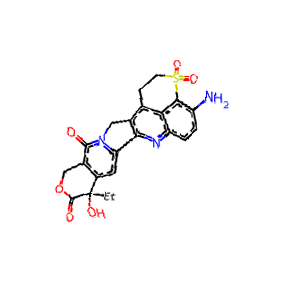 CC[C@@]1(O)C(=O)OCc2c1cc1n(c2=O)Cc2c-1nc1ccc(N)c3c1c2CCS3(=O)=O